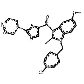 COc1ccc2c(c1)c(C(=O)c1cnc(-c3ccnnc3)s1)c(C)n2Cc1ccc(Cl)cc1